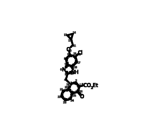 CCOC(=O)c1cn(Cc2nc3cc(OCC4CC4)c(Cl)cc3[nH]2)c2ccccc2c1=O